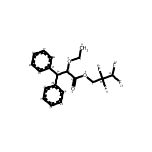 CCOC(C(=O)OCC(F)(F)C(F)F)C(c1ccccc1)c1ccccc1